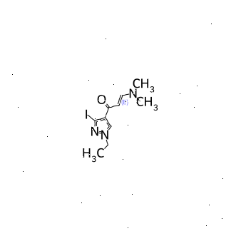 CCn1cc(C(=O)/C=C/N(C)C)c(I)n1